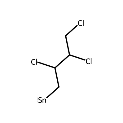 ClCC(Cl)C(Cl)[CH2][Sn]